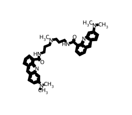 CN(CCCNC(=O)c1cccc2cc3ccc(N(C)C)cc3nc12)CCCNC(=O)c1cccc2cc3ccc(N(C)C)cc3nc12